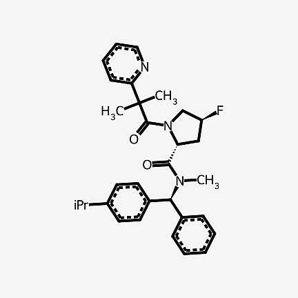 CC(C)c1ccc([C@H](c2ccccc2)N(C)C(=O)[C@H]2C[C@H](F)CN2C(=O)C(C)(C)c2ccccn2)cc1